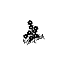 CC(C)(C)c1ccc2c(c1)c1cc(C(C)(C)C)cc3c1n2B1c2cc(-c4ccccc4)ccc2N(c2ccc(-c4ccccc4)cc2)c2c1c-3cc1ccccc21